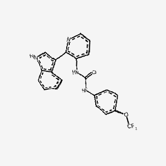 O=C(Nc1ccc(OC(F)(F)F)cc1)Nc1cccnc1-c1c[nH]c2ccccc12